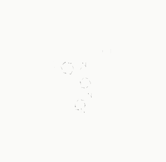 CCCC[C@H]1Cc2cc(OC)ccc2C(c2ccc(Nc3cccnc3)cc2)=N1